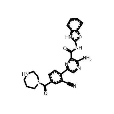 N#Cc1cc(C(=O)N2CCCNCC2)ccc1-c1cnc(N)c(C(=O)Nc2nc3ccccc3[nH]2)n1